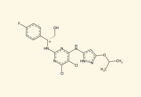 CC(C)Oc1cc(Nc2nc(N[C@@H](CO)c3ccc(F)cc3)nc(Cl)c2Cl)[nH]n1